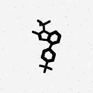 CC1=Cc2c(-c3ccc(C(C)(C)C)cc3)cccc2C1[SiH](C)C